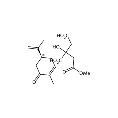 C=C(C)[C@H]1CC=C(C)C(=O)C1.COC(=O)CC(O)(CC(=O)O)C(=O)O